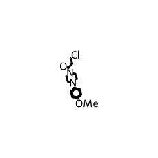 COc1ccc(N2CCN(C(=O)CCCl)CC2)cc1